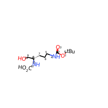 CC(C)(C)OC(=O)NCCC[C@@H](CO)NC(=O)O